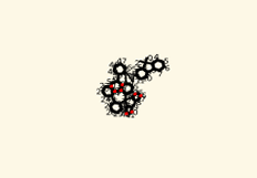 CC1(C)c2ccccc2-c2ccc(N(c3ccc4c(c3)-c3ccccc3-c3ccccc3C43c4ccccc4-c4ccccc43)c3ccccc3-c3ccccc3)cc21